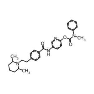 CC1CCCC(C)N1CCc1ccc(C(=O)Nc2ccc(OC(=O)N(C)c3ccccc3)nc2)cc1